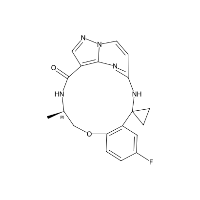 C[C@@H]1COc2ccc(F)cc2C2(CC2)Nc2ccn3ncc(c3n2)C(=O)N1